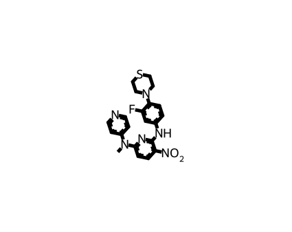 CN(c1ccncc1)c1ccc([N+](=O)[O-])c(Nc2ccc(N3CCSCC3)c(F)c2)n1